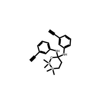 C#Cc1cccc(NC2(Nc3cccc(C#C)c3)CC[Si](C)(C)[Si](C)(C)O2)c1